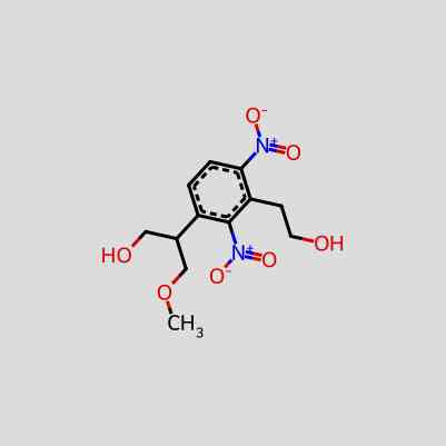 COCC(CO)c1ccc([N+](=O)[O-])c(CCO)c1[N+](=O)[O-]